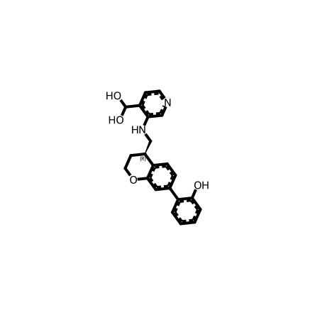 Oc1ccccc1-c1ccc2c(c1)OCC[C@H]2CNc1cnccc1C(O)O